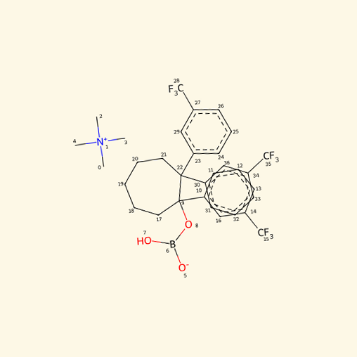 C[N+](C)(C)C.[O-]B(O)OC1(c2cccc(C(F)(F)F)c2)CCCCCC1(c1cccc(C(F)(F)F)c1)c1cccc(C(F)(F)F)c1